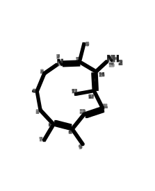 CC1=N\CCC\C(C)=C(C)/C=C/C(C)=C/1N